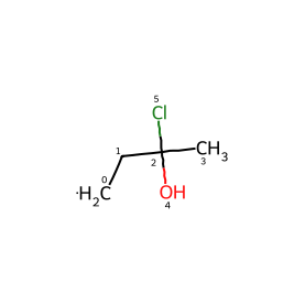 [CH2]CC(C)(O)Cl